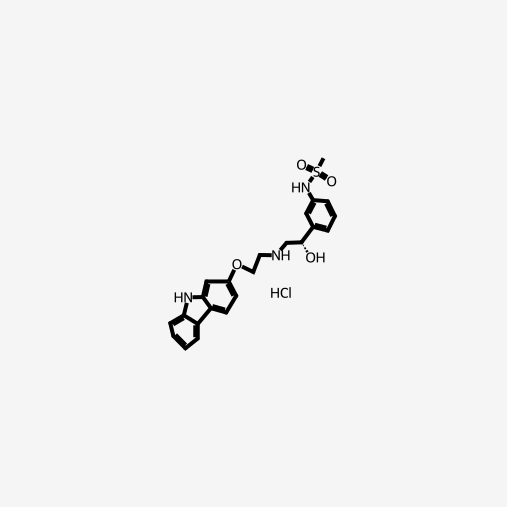 CS(=O)(=O)Nc1cccc([C@H](O)CNCCOc2ccc3c(c2)[nH]c2ccccc23)c1.Cl